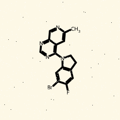 Cc1cc2c(N3CCc4cc(F)c(Br)cc43)ncnc2cn1